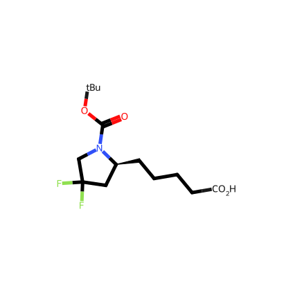 CC(C)(C)OC(=O)N1CC(F)(F)C[C@@H]1CCCCC(=O)O